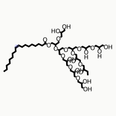 CCCCCCCC/C=C\CCCCCCCC(=O)OCC(COCC(O)CO)OC(COCC(O)COCC(O)COCC(O)CO)COCC(COCC(O)COCC(O)CO)OCC(O)COCC(O)CC